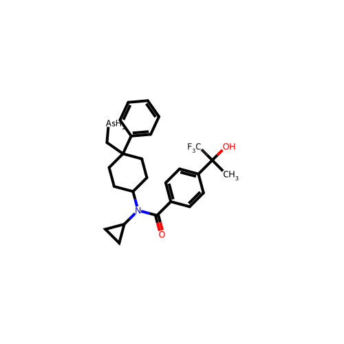 CC(O)(c1ccc(C(=O)N(C2CC2)C2CCC(C[AsH2])(c3ccccc3)CC2)cc1)C(F)(F)F